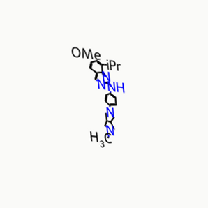 COc1ccc2cnc(Nc3ccc(N4CC5CN(C)CC5C4)cc3)nc2c1C(C)C